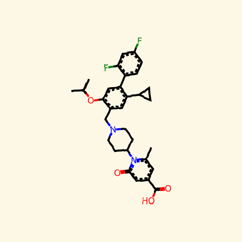 Cc1cc(C(=O)O)cc(=O)n1C1CCN(Cc2cc(C3CC3)c(-c3ccc(F)cc3F)cc2OC(C)C)CC1